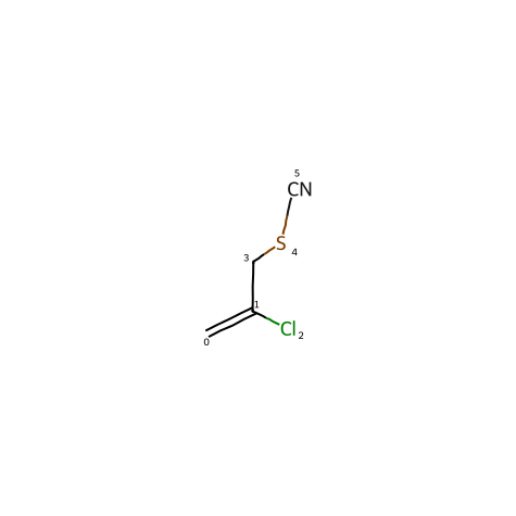 C=C(Cl)CSC#N